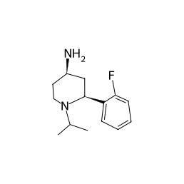 CC(C)N1CC[C@@H](N)C[C@H]1c1ccccc1F